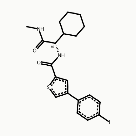 CNC(=O)[C@@H](NC(=O)c1cc(-c2ccc(I)cc2)cs1)C1CCCCC1